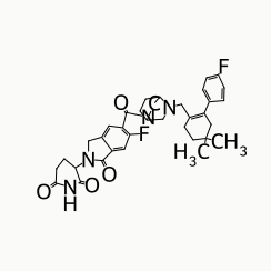 CC1(C)CCC(CN2CC3CCC2CN3C(=O)c2cc3c(cc2F)C(=O)N(C2CCC(=O)NC2=O)C3)=C(c2ccc(F)cc2)C1